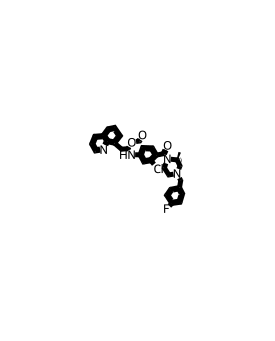 C[C@H]1CN(Cc2ccc(F)cc2)CCN1C(=O)c1ccc(NC(Cc2cccc3cccnc23)OC=O)cc1Cl